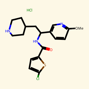 COc1ccc(C(CC2CCNCC2)NC(=O)c2ccc(Cl)s2)cn1.Cl